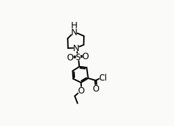 CCOc1ccc(S(=O)(=O)N2CCNCC2)cc1C(=O)Cl